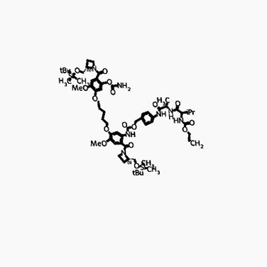 C=CCOC(=O)NC(C(=O)NC(C)C(=O)Nc1ccc(COC(=O)Nc2cc(OCCCCCOc3cc(OC(N)=O)c(C(=O)N4CC[C@H]4CO[Si](C)(C)C(C)(C)C)cc3OC)c(OC)cc2C(=O)N2CC[C@H]2CO[Si](C)(C)C(C)(C)C)cc1)C(C)C